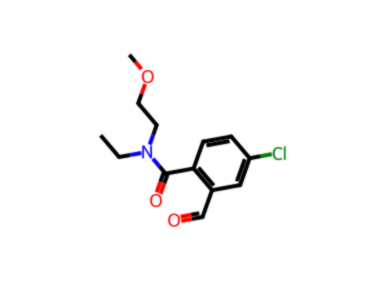 CCN(CCOC)C(=O)c1ccc(Cl)cc1C=O